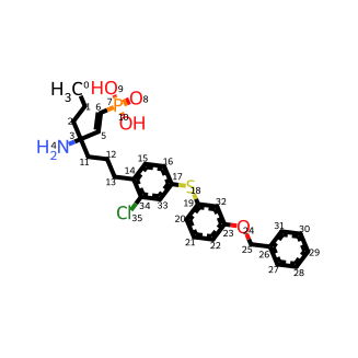 CCCC(N)(C=CP(=O)(O)O)CCCc1ccc(Sc2cccc(OCc3ccccc3)c2)cc1Cl